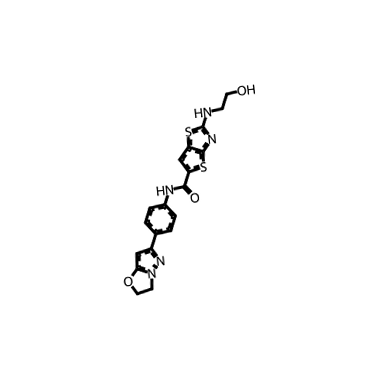 O=C(Nc1ccc(-c2cc3n(n2)CCO3)cc1)c1cc2sc(NCCO)nc2s1